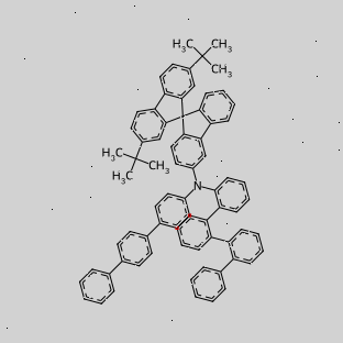 CC(C)(C)c1ccc2c(c1)C1(c3ccccc3-c3cc(N(c4ccc(-c5ccc(-c6ccccc6)cc5)cc4)c4ccccc4-c4ccccc4-c4ccccc4-c4ccccc4)ccc31)c1cc(C(C)(C)C)ccc1-2